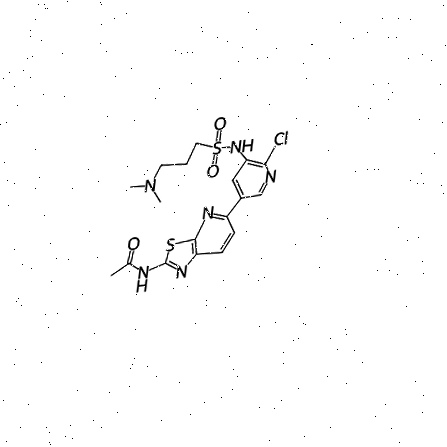 CC(=O)Nc1nc2ccc(-c3cnc(Cl)c(NS(=O)(=O)CCCN(C)C)c3)nc2s1